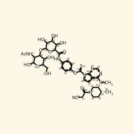 CC(=O)NC1C(O)OC(CO)C(O)C1OC1OC(C(=O)Nc2ccc(OC(=S)n3ccc4c(N(C)[C@H]5CN(C(=O)CC#N)CC[C@H]5C)ncnc43)cc2)C(O)C(O)C1O